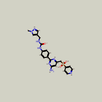 Cn1cc(CNC(=O)Nc2ccc(-c3nc(N)cc(CS(=O)(=O)c4ccncc4)n3)cc2)cn1